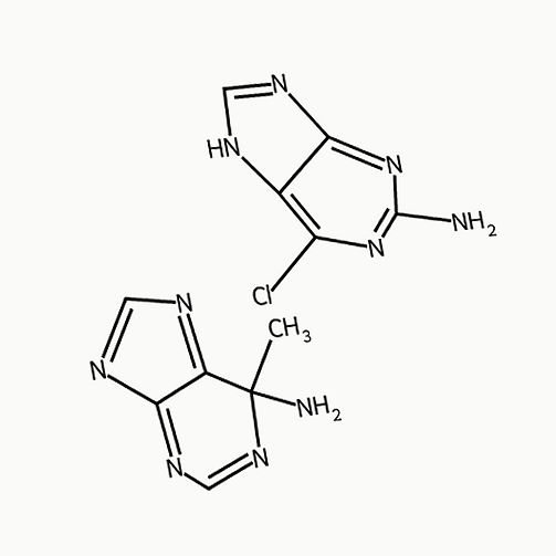 CC1(N)N=CN=C2N=CN=C21.Nc1nc(Cl)c2[nH]cnc2n1